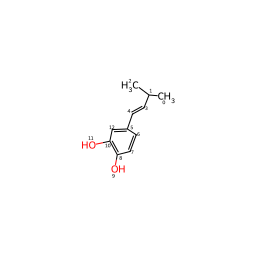 CC(C)/C=C/c1ccc(O)c(O)c1